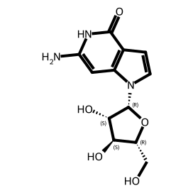 Nc1cc2c(ccn2[C@@H]2O[C@H](CO)[C@@H](O)[C@@H]2O)c(=O)[nH]1